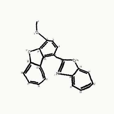 COc1ccc(-c2nc3ccccc3o2)c2c1oc1ccccc12